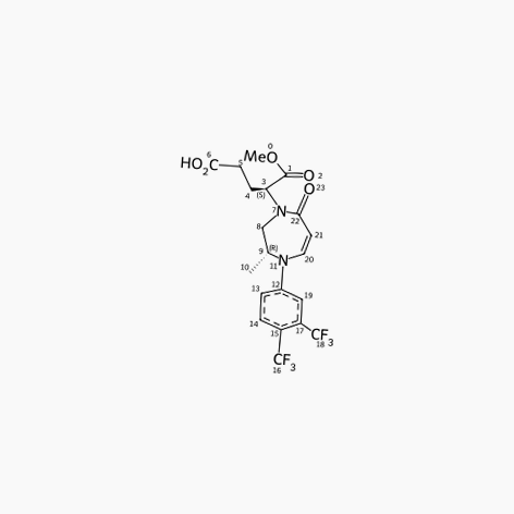 COC(=O)[C@H](CCC(=O)O)N1C[C@@H](C)N(c2ccc(C(F)(F)F)c(C(F)(F)F)c2)C=CC1=O